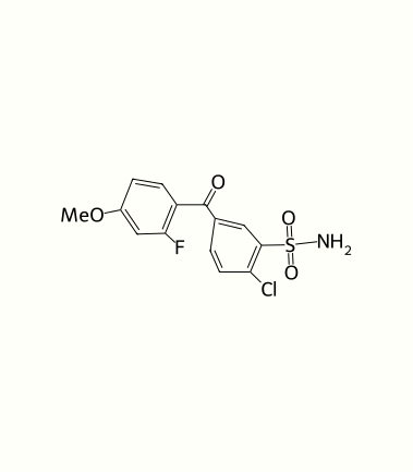 COc1ccc(C(=O)c2ccc(Cl)c(S(N)(=O)=O)c2)c(F)c1